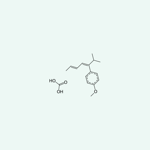 C/C=C/C=C(\c1ccc(OC)cc1)C(C)C.O=C(O)O